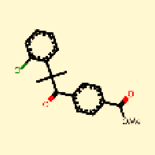 COC(=O)c1ccc(C(=O)C(C)(C)c2ccccc2Cl)cc1